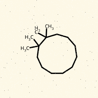 CC1(C)CCCCCCCCCC1(C)C